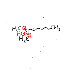 CCCCCCC[Si](O)(OC)OC